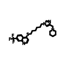 FC(F)(F)c1ccc2c(SCCCCCCn3cnc(CN4CCCCC4)c3)ccnc2c1